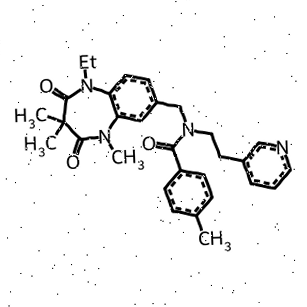 CCN1C(=O)C(C)(C)C(=O)N(C)c2cc(CN(CCc3cccnc3)C(=O)c3ccc(C)cc3)ccc21